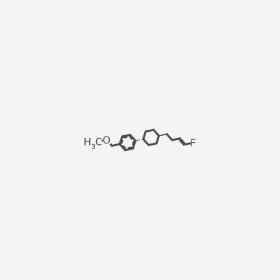 COCc1ccc([C@H]2CC[C@H](CCC=CF)CC2)cc1